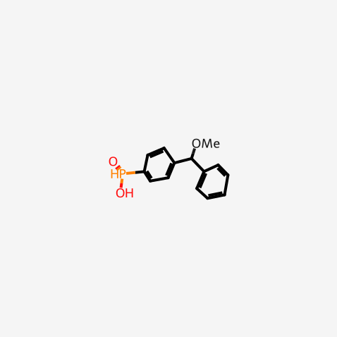 COC(c1ccccc1)c1ccc([PH](=O)O)cc1